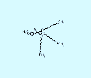 CCCCCCCCCCCCOc1cc(/C(C#N)=C/c2ccc(OC)cc2)cc(OCCCCCCCCCCCC)c1OCCCCCCCCCCCC